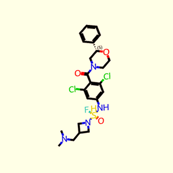 CN(C)CC1CN([SH](=O)(F)Nc2cc(Cl)c(C(=O)N3CCO[C@@H](c4ccccc4)C3)c(Cl)c2)C1